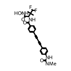 CNC(=O)Nc1ccc(C#CC#Cc2ccc(C(=O)N[C@H](C(=O)NO)C(C)(C)C(F)F)cc2)cc1